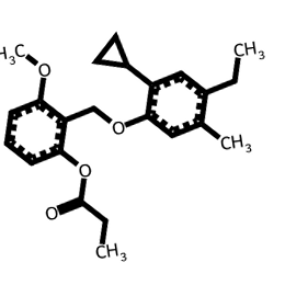 CCC(=O)Oc1cccc(OC)c1COc1cc(C)c(CC)cc1C1CC1